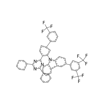 FC(F)(F)c1cccc(-c2ccc(-c3nc(-c4ccccc4)nc(-c4ccccc4)n3)c(-n3c4ccccc4c4cc(-c5cc(C(F)(F)F)cc(C(F)(F)F)c5)ccc43)c2)c1